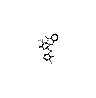 COc1ccccc1Cn1cc(OC)c(=O)nc1Nc1cccc(Cl)c1C